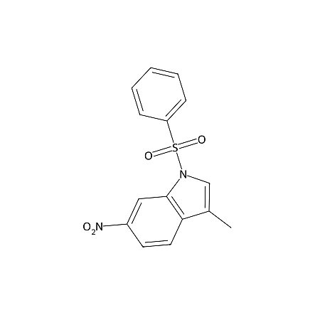 Cc1cn(S(=O)(=O)c2ccccc2)c2cc([N+](=O)[O-])ccc12